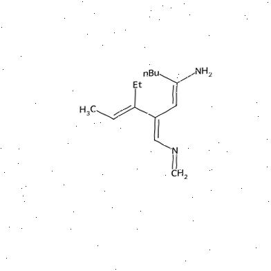 C=N/C=C(\C=C(\N)CCCC)C(=C/C)/CC